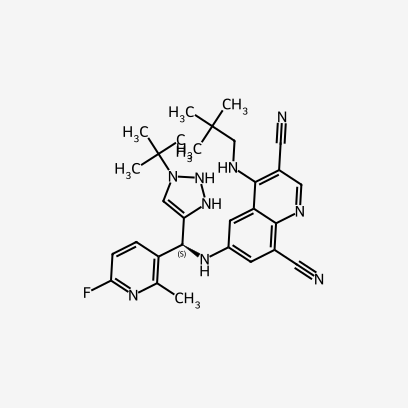 Cc1nc(F)ccc1[C@H](Nc1cc(C#N)c2ncc(C#N)c(NCC(C)(C)C)c2c1)C1=CN(C(C)(C)C)NN1